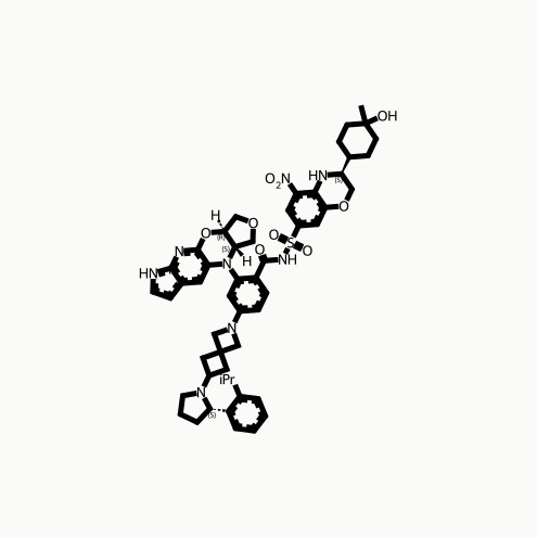 CC(C)c1ccccc1[C@@H]1CCCN1C1CC2(C1)CN(c1ccc(C(=O)NS(=O)(=O)c3cc4c(c([N+](=O)[O-])c3)N[C@@H](C3CCC(C)(O)CC3)CO4)c(N3c4cc5cc[nH]c5nc4O[C@H]4COC[C@@H]43)c1)C2